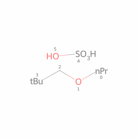 CCCOCC(C)(C)C.O=S(=O)(O)O